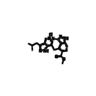 COC(=O)c1ccc2[nH]nc(N)c2c1Cc1cc(Cl)cc2c(CC(C)C)n[nH]c12